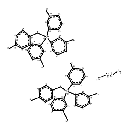 CC(=O)[O-].CC(=O)[O-].Cc1ccc(C[P+](c2cccc(C)c2)(c2cccc(C)c2)c2cccc(C)c2)cc1.Cc1ccc(C[P+](c2cccc(C)c2)(c2cccc(C)c2)c2cccc(C)c2)cc1